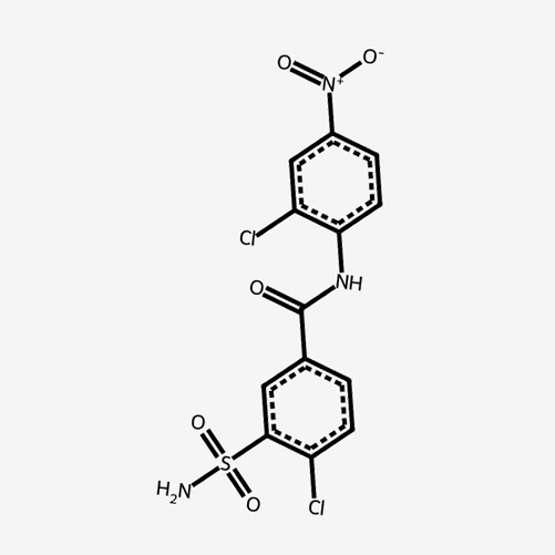 NS(=O)(=O)c1cc(C(=O)Nc2ccc([N+](=O)[O-])cc2Cl)ccc1Cl